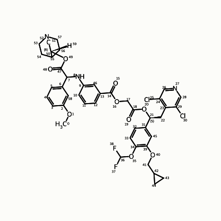 COc1cccc(C(Nc2cccc(C(=O)OCC(=O)O[C@@H](Cc3c(Cl)cncc3Cl)c3ccc(OC(F)F)c(OCC4CC4)c3)c2)C(=O)O[C@H]2CN3CCC2CC3)c1